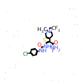 C[N+]1(CC(F)(F)F)CCc2c(sc(NC(=O)Nc3ccc(Cl)cc3)c2C(N)=O)C1.[I-]